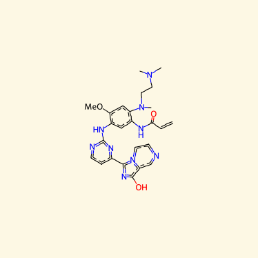 C=CC(=O)Nc1cc(Nc2nccc(-c3nc(O)c4cnccn34)n2)c(OC)cc1N(C)CCN(C)C